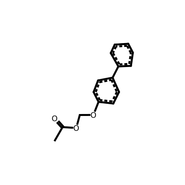 CC(=O)OCOc1ccc(-c2ccccc2)cc1